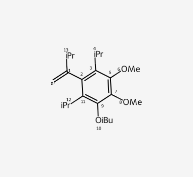 [C]=C(c1c(C(C)C)c(OC)c(OC)c(OCC(C)C)c1C(C)C)C(C)C